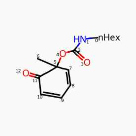 CCCCCCNC(=O)OC1(C)C=CC=CC1=O